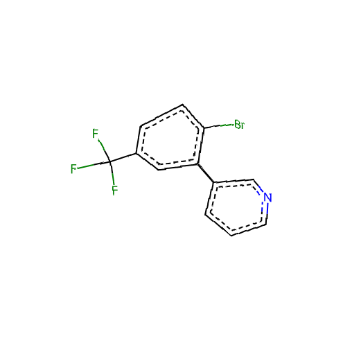 FC(F)(F)c1ccc(Br)c(-c2cccnc2)c1